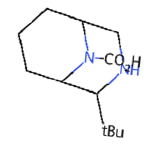 CC(C)(C)C1NCC2CCCC1N2C(=O)O